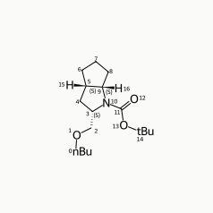 CCCCOC[C@@H]1C[C@@H]2CCC[C@@H]2N1C(=O)OC(C)(C)C